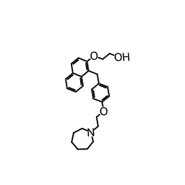 OCCOc1ccc2ccccc2c1Cc1ccc(OCCN2CCCCCC2)cc1